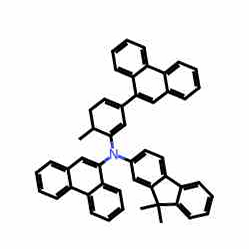 CC1CC=C(c2cc3ccccc3c3ccccc23)C=C1N(c1ccc2c(c1)C(C)(C)c1ccccc1-2)c1cc2ccccc2c2ccccc12